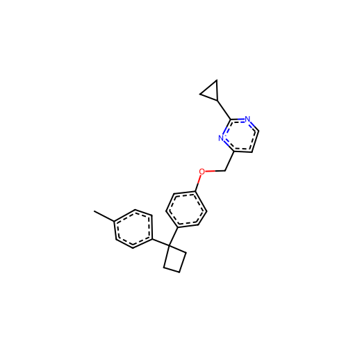 Cc1ccc(C2(c3ccc(OCc4ccnc(C5CC5)n4)cc3)CCC2)cc1